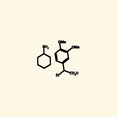 CCC(C(=O)O)c1ccc(OC)c(OC)c1.NC1CCCCC1